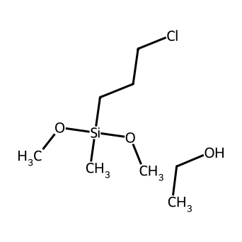 CCO.CO[Si](C)(CCCCl)OC